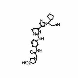 N#CCC(C1CCCC1)n1cc(-c2ccnc(Nc3cccc(NC(=O)CN4CC[C@@H](O)C4)c3)n2)cn1